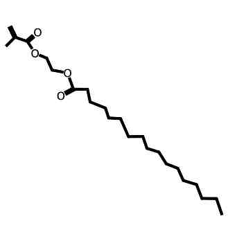 C=C(C)C(=O)OCCOC(=O)CCCCCCCCCCCCCCCC